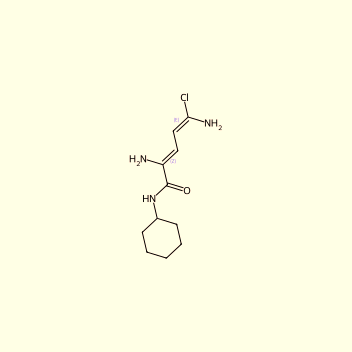 N/C(=C\C=C(/N)Cl)C(=O)NC1CCCCC1